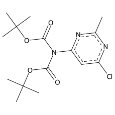 Cc1nc(Cl)cc(N(C(=O)OC(C)(C)C)C(=O)OC(C)(C)C)n1